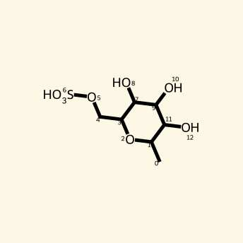 CC1OC(COS(=O)(=O)O)C(O)C(O)C1O